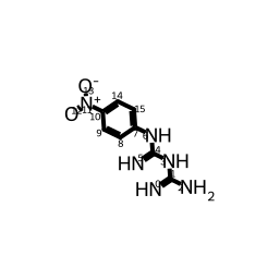 N=C(N)NC(=N)Nc1ccc([N+](=O)[O-])cc1